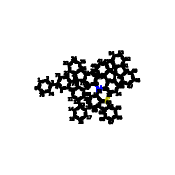 c1ccc(-c2ccc(C3(c4ccc(-c5ccccc5)cc4)c4ccccc4-c4ccc(N(c5cccc6c5-c5ccccc5C65c6ccccc6-c6ccccc65)c5cccc6c5sc5ccccc56)cc43)cc2)cc1